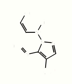 C=Nc1c(C(=O)OCC)cnn1N(C)/C=C\C